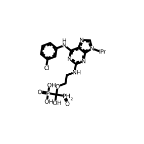 CC(C)n1cnc2c(Nc3cccc(Cl)c3)nc(NCCOC(O)([PH2]=O)P(=O)(O)O)nc21